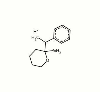 CC(c1ccccc1)C1([SiH3])CCCCO1.[H+]